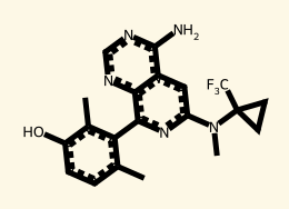 Cc1ccc(O)c(C)c1-c1nc(N(C)C2(C(F)(F)F)CC2)cc2c(N)ncnc12